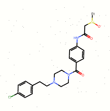 CC[S+]([O-])CC(=O)Nc1ccc(C(=O)N2CCN(CCc3ccc(Cl)cc3)CC2)cc1